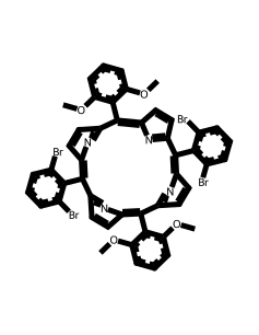 COc1cccc(OC)c1C1=C2C=CC(=N2)C(c2c(Br)cccc2Br)=C2C=CC(=N2)C(c2c(OC)cccc2OC)=C2C=CC(=N2)C(c2c(Br)cccc2Br)=C2C=CC1=N2